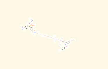 CC/N=c1/ccc2c(-c3ccc(S(=O)(=O)NCCOCCOCCOCCOCCC(=O)NCCCCNC(=O)Cc4c(C)n(C(=O)c5ccc(Cl)cc5)c5ccc(OC)cc45)cc3[SH](=O)=O)c3ccc(N(CC)CC)cc3oc-2c1